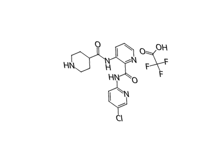 O=C(Nc1ccc(Cl)cn1)c1ncccc1NC(=O)C1CCNCC1.O=C(O)C(F)(F)F